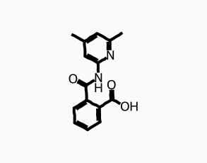 Cc1cc(C)nc(NC(=O)c2ccccc2C(=O)O)c1